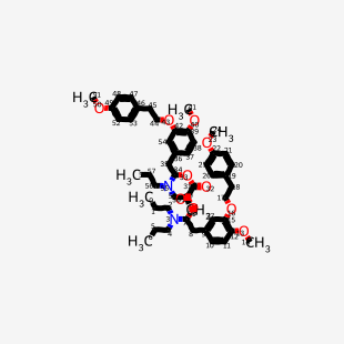 CCCN(CCC)C(Cc1ccc(OC)c(OCCc2ccc(OC)cc2)c1)OC(=O)C(=O)OC(Cc1ccc(OC)c(OCCc2ccc(OC)cc2)c1)N(CCC)CCC